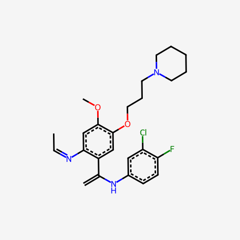 C=C(Nc1ccc(F)c(Cl)c1)c1cc(OCCCN2CCCCC2)c(OC)cc1/N=C\C